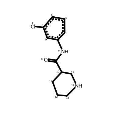 O=C(Nc1cccc(Cl)c1)C1CCCNC1